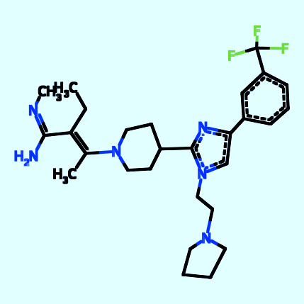 CCC(/C(N)=N\C)=C(/C)N1CCC(c2nc(-c3cccc(C(F)(F)F)c3)cn2CCN2CCCC2)CC1